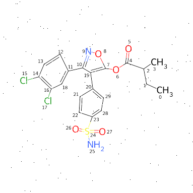 CCC(C)C(=O)Oc1onc(-c2ccc(Cl)c(Cl)c2)c1-c1ccc(S(N)(=O)=O)cc1